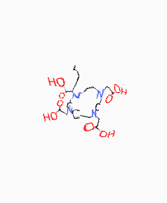 CCC[C@H](C(=O)O)N1CCN(CC(=O)O)CCN(CC(=O)O)CCN(CC(=O)O)CC1